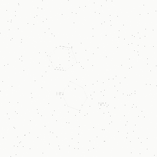 CN[C@@H]1CCN[C@H](c2ccccc2)C1